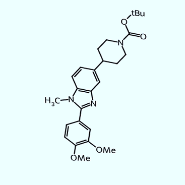 COc1ccc(-c2nc3cc(C4CCN(C(=O)OC(C)(C)C)CC4)ccc3n2C)cc1OC